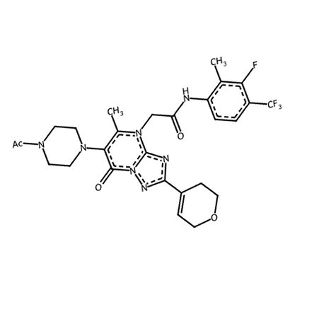 CC(=O)N1CCN(c2c(C)n(CC(=O)Nc3ccc(C(F)(F)F)c(F)c3C)c3nc(C4=CCOCC4)nn3c2=O)CC1